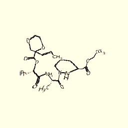 C/C=C/C1(C(=O)O[C@H](C(=O)N[C@@H](C)C(=O)N2CCC[C@@H](C(=O)OCC(Cl)(Cl)Cl)N2)C(C)C)COCCO1